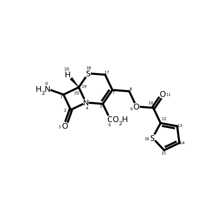 NC1C(=O)N2C(C(=O)O)=C(COC(=O)c3cccs3)CS[C@@H]12